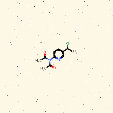 CC(=O)N(C(C)=O)c1ccc(C(C)Cl)cn1